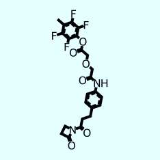 Cc1c(F)c(F)c(OC(=O)COCC(=O)Nc2ccc(CCC(=O)N3CCC3=O)cc2)c(F)c1F